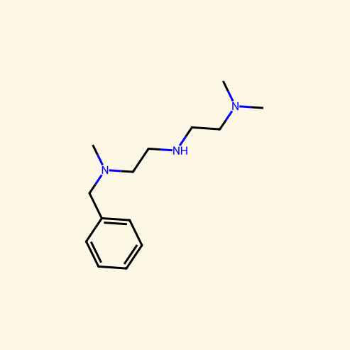 CN(C)CCNCCN(C)Cc1ccccc1